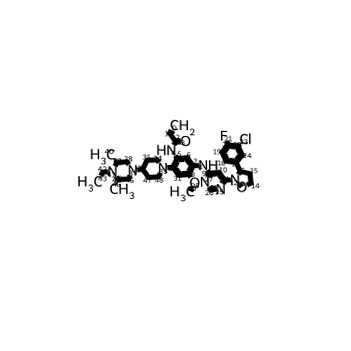 C=CC(=O)Nc1cc(Nc2cc(N3OCCC3c3ccc(F)c(Cl)c3)ncn2)c(OC)cc1N1CCC(N2C[C@@H](C)N(CC)[C@@H](C)C2)CC1